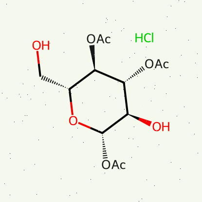 CC(=O)O[C@@H]1O[C@H](CO)[C@@H](OC(C)=O)[C@H](OC(C)=O)[C@H]1O.Cl